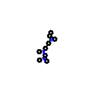 c1ccc(N(c2ccc(-c3ccc(-n4c5ccccc5c5c6ccccc6ccc54)cc3)cc2)c2ccc3c4ccccc4n(-c4ccccc4)c3c2)cc1